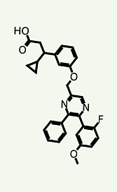 COc1ccc(F)c(-c2ncc(COc3cccc(C(CC(=O)O)C4CC4)c3)nc2-c2ccccc2)c1